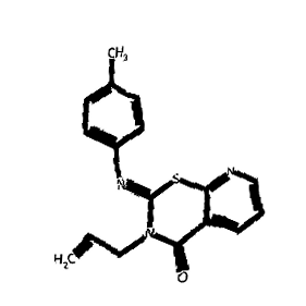 C=CCn1c(=O)c2cccnc2s/c1=N\c1ccc(C)cc1